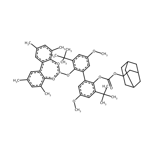 COc1cc(-c2cc(OC)cc(C(C)(C)C)c2Op2oc3c(C)cc(C)cc3c3cc(C)cc(C)c3o2)c(OC(=O)OC23CC4CC(CC(C4)C2)C3)c(C(C)(C)C)c1